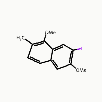 COc1cc2ccc(C)c(OC)c2cc1I